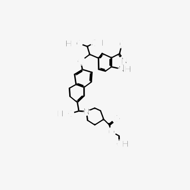 CCOC(=O)C1CCN(C(C)C2=Cc3ccc(OC(c4ccc5[nH]nc(Cl)c5c4)C(C)C)cc3CC2)CC1